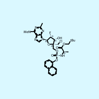 CNc1nc(C)nc2c1ncn2[C@@H]1O[C@](CCl)(CO[P@@](=O)(N[C@H](C)C(=O)OCC(C)(C)C)Oc2cccc3ccccc23)[C@@H](O)[C@H]1F